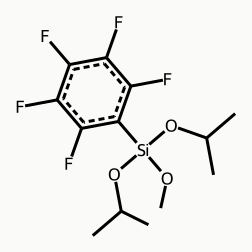 CO[Si](OC(C)C)(OC(C)C)c1c(F)c(F)c(F)c(F)c1F